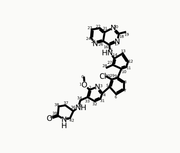 COc1nc(-c2cccc(-c3cccc(Nc4nc(C)nc5cccnc45)c3C)c2Cl)ccc1CNC1CCC(=O)NC1